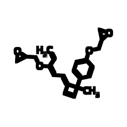 C=C/C(=C\C=C1/C=CC1(C)c1ccc(OCC2CO2)cc1)OCC1CO1